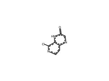 O=c1cnc2ccnc(Cl)c2[nH]1